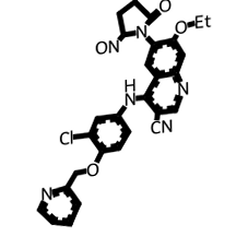 CCOc1cc2ncc(C#N)c(Nc3ccc(OCc4ccccn4)c(Cl)c3)c2cc1N1C(=O)CCC1N=O